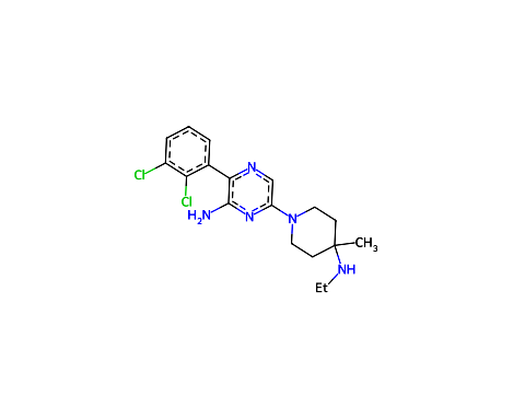 CCNC1(C)CCN(c2cnc(-c3cccc(Cl)c3Cl)c(N)n2)CC1